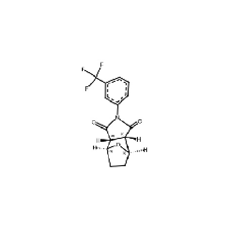 O=C1[C@@H]2[C@H](C(=O)N1c1cccc(C(F)(F)F)c1)[C@H]1CC[C@@H]2O1